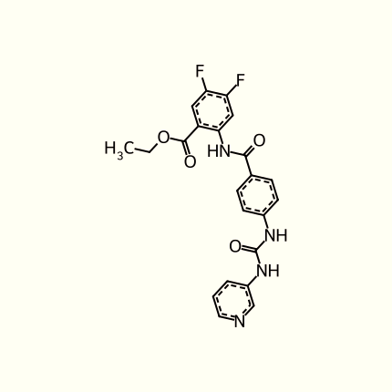 CCOC(=O)c1cc(F)c(F)cc1NC(=O)c1ccc(NC(=O)Nc2cccnc2)cc1